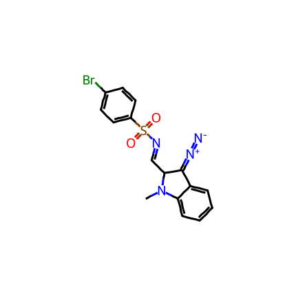 CN1c2ccccc2C(=[N+]=[N-])C1C=NS(=O)(=O)c1ccc(Br)cc1